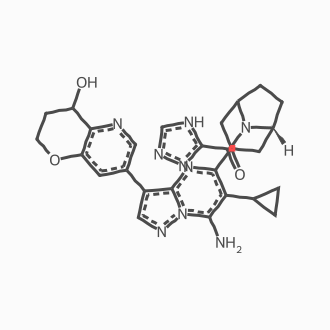 Nc1c(C2CC2)c(C2CC3CC[C@H](C2)N3C(=O)c2nnc[nH]2)nc2c(-c3cnc4c(c3)OCCC4O)cnn12